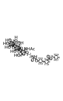 CC(=O)N[C@H]1[C@H](OCCCNC(=O)COc2ccc(-c3cccc(C(=O)OCc4ccccc4)c3)cc2)O[C@H](CO)[C@@H](O[C@@H]2O[C@H](CO)[C@H](O)[C@H](O[C@H]3O[C@H](CO)[C@H](O)[C@H](O)[C@H]3O)[C@H]2O)[C@@H]1O